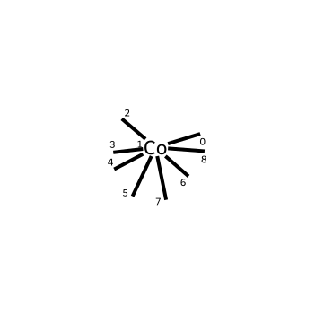 [CH3][Co]([CH3])([CH3])([CH3])([CH3])([CH3])([CH3])[CH3]